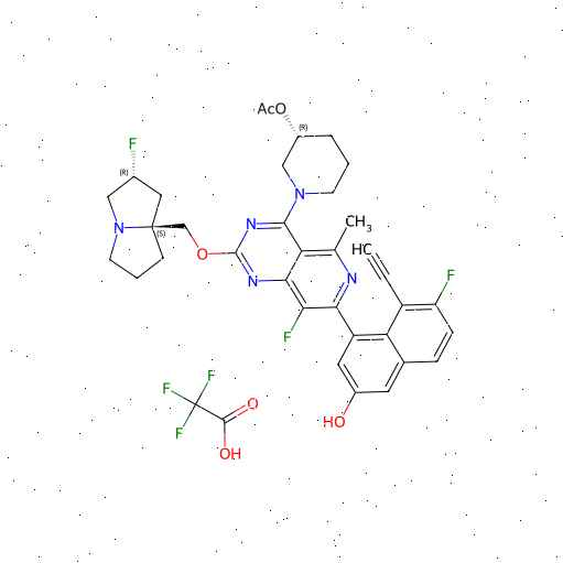 C#Cc1c(F)ccc2cc(O)cc(-c3nc(C)c4c(N5CCC[C@@H](OC(C)=O)C5)nc(OC[C@@]56CCCN5C[C@H](F)C6)nc4c3F)c12.O=C(O)C(F)(F)F